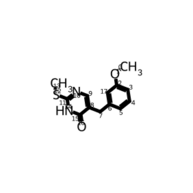 COc1cccc(Cc2cnc(SC)[nH]c2=O)c1